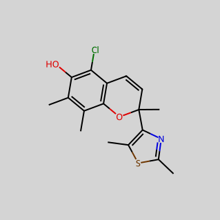 Cc1nc(C2(C)C=Cc3c(Cl)c(O)c(C)c(C)c3O2)c(C)s1